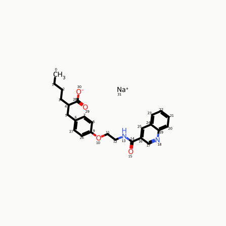 CCCCC(Cc1ccc(OCCNC(=O)c2cnc3ccccc3c2)cc1)C(=O)[O-].[Na+]